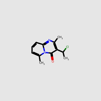 Cc1nc2cccc(C)n2c(=O)c1C(C)Cl